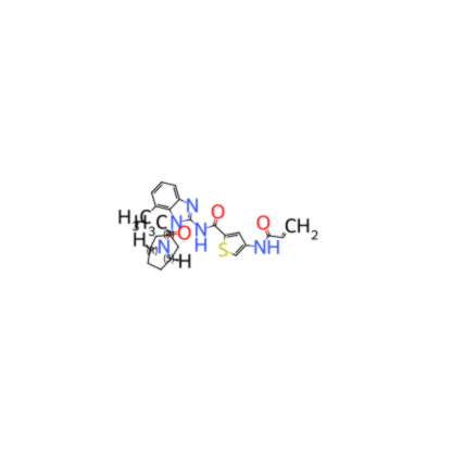 C=CC(=O)Nc1csc(C(=O)Nc2nc3cccc(C)c3n2[C@H]2C[C@H]3CC[C@@H](C2)N3C(C)=O)c1